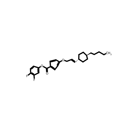 CCCCC[C@H]1CC[C@H](C=CCOc2ccc(C(=O)Oc3ccc(F)c(F)c3)cc2)CC1